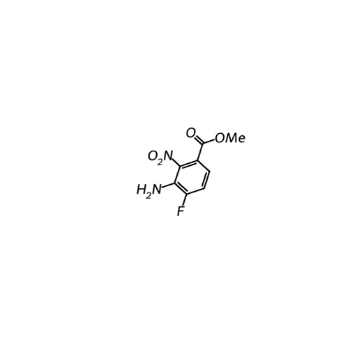 COC(=O)c1ccc(F)c(N)c1[N+](=O)[O-]